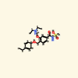 CCNCC.CCc1ccc(OCc2ccc(C(=O)NS(C)(=O)=O)cc2OC)cc1